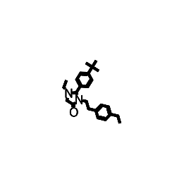 CCc1ccc(CCN2C(=O)CN(CC)C2c2ccc(C(C)(C)C)cc2)cc1